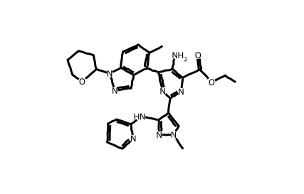 CCOC(=O)c1nc(-c2cn(C)nc2Nc2ccccn2)nc(-c2c(C)ccc3c2cnn3C2CCCCO2)c1N